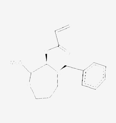 C=CC(=O)O[C@@H]1C(OC)OCCC[C@@H]1Cc1ccccc1